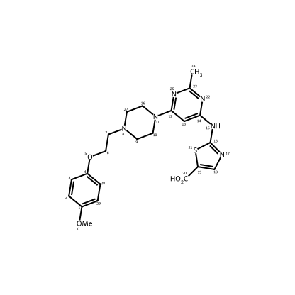 COc1ccc(OCCN2CCN(c3cc(Nc4ncc(C(=O)O)s4)nc(C)n3)CC2)cc1